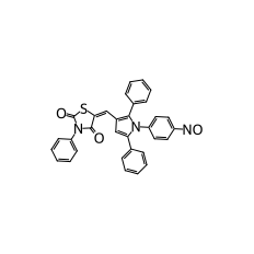 O=Nc1ccc(-n2c(-c3ccccc3)cc(C=C3SC(=O)N(c4ccccc4)C3=O)c2-c2ccccc2)cc1